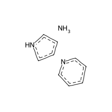 N.c1cc[nH]c1.c1ccncc1